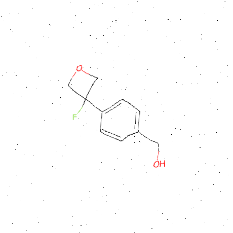 OCc1ccc(C2(F)COC2)cc1